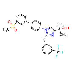 CC(C)(O)c1cn(-c2ccc(-c3cccc(S(C)(=O)=O)c3)cc2)c(Cc2cccc(C(F)(F)F)c2)n1